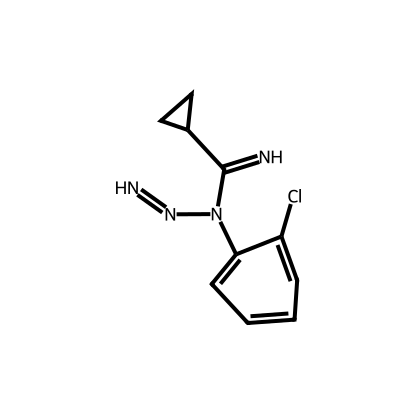 N=NN(C(=N)C1CC1)c1ccccc1Cl